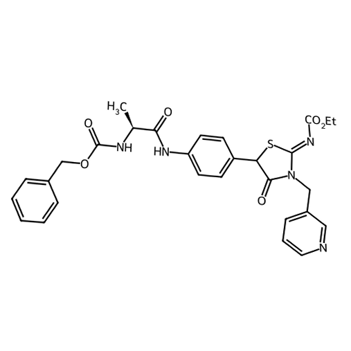 CCOC(=O)/N=C1\SC(c2ccc(NC(=O)[C@H](C)NC(=O)OCc3ccccc3)cc2)C(=O)N1Cc1cccnc1